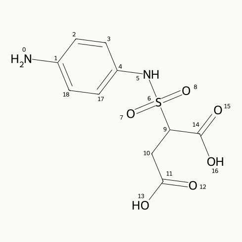 Nc1ccc(NS(=O)(=O)C(CC(=O)O)C(=O)O)cc1